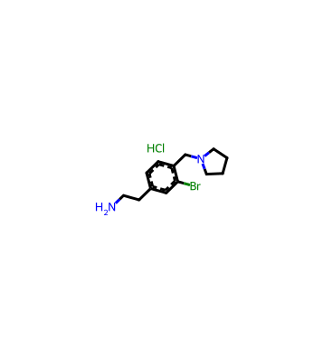 Cl.NCCc1ccc(CN2CCCC2)c(Br)c1